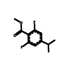 COC(=O)c1c(F)cc(C(C)C)cc1F